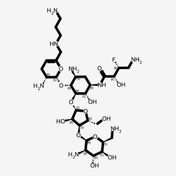 NCCCNCC1=CC[C@@H](N)[C@@H](O[C@H]2[C@H](O[C@@H]3O[C@H](CO)[C@@H](O[C@H]4O[C@@H](CN)[C@@H](O)[C@H](O)[C@H]4N)[C@H]3O)[C@@H](O)[C@H](NC(=O)[C@@H](O)[C@H](F)CN)C[C@@H]2N)O1